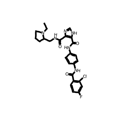 CCN1CCCC1CNC(=O)c1nc[nH]c1C(=O)Nc1ccc(NC(=O)c2ccc(F)cc2Cl)cc1